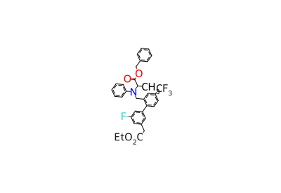 CCOC(=O)Cc1cc(F)cc(-c2ccc(C(F)(F)F)cc2CN(c2ccccc2)C(C)C(=O)OCc2ccccc2)c1